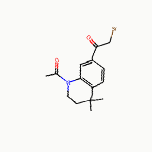 CC(=O)N1CCC(C)(C)c2ccc(C(=O)CBr)cc21